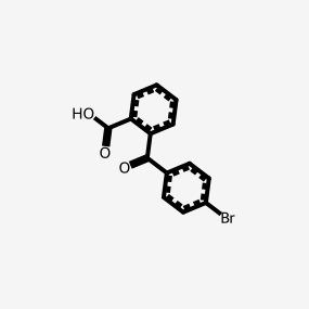 O=C(O)c1ccccc1C(=O)c1ccc(Br)cc1